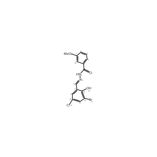 COc1cccc(C(=O)N/N=C/c2cc(Cl)cc(Br)c2O)c1